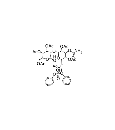 CC(=O)OC[C@@H]1O[C@H](O)[C@@H](O[C@H]2O[C@H](COC(C)=O)[C@@H](OC(C)=O)[C@H](OC(N)=O)[C@@H]2OC(C)=O)[C@@H](OC(C)=O)[C@@H]1OC(C)=O.O=P(O)(Oc1ccccc1)Oc1ccccc1